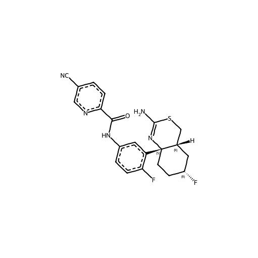 N#Cc1ccc(C(=O)Nc2ccc(F)c([C@]34CC[C@@H](F)C[C@H]3CSC(N)=N4)c2)nc1